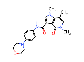 Cc1cn(C)c(=O)c2c(C(=O)Nc3ccc(N4CCOCC4)cc3)cn(C)c12